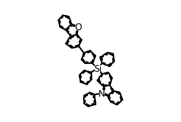 c1ccc(-n2c3ccccc3c3ccc([Si](c4ccccc4)(c4ccccc4)c4ccc(-c5ccc6c(c5)oc5ccccc56)cc4)cc32)cc1